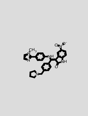 Cn1ccnc1-c1ccc(NC(=C2C(=O)Nc3ccc([N+](=O)[O-])cc32)c2ccc(CN3CCCC3)cc2)cc1